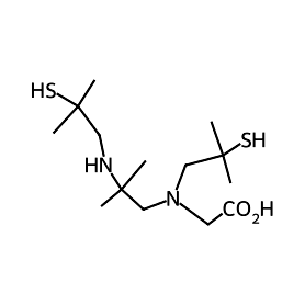 CC(C)(S)CNC(C)(C)CN(CC(=O)O)CC(C)(C)S